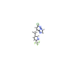 FC(F)(F)c1ccc(C2C[C@@H]2c2cc(Cl)nn3ccnc23)cn1